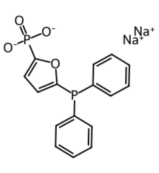 O=P([O-])([O-])c1ccc(P(c2ccccc2)c2ccccc2)o1.[Na+].[Na+]